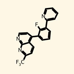 Fc1c(-c2ccccn2)cccc1-c1ccnc2nc(C(F)(F)F)ccc12